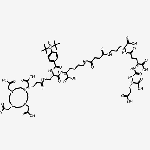 CC(C)(C)[Si](F)(c1ccc(C(=O)N[C@H](CNC(=O)CC[C@@H](C(=O)O)N2CCN(CC(=O)O)CCN(CC(=O)O)CCN(CC(=O)O)CC2)C(=O)N[C@@H](CCCCNC(=O)CCC(=O)NCCC[C@H](NC(=O)CC[C@H](NC(=O)N[C@@H](CCC(=O)O)C(=O)O)C(=O)O)C(=O)O)C(=O)O)cc1)C(C)(C)C